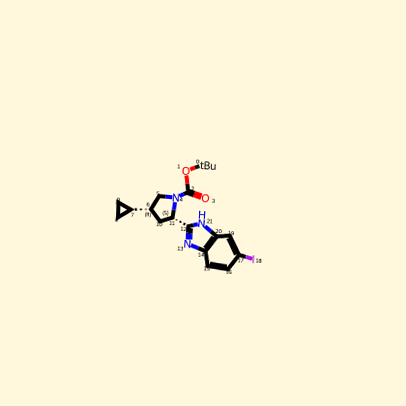 CC(C)(C)OC(=O)N1C[C@@H](C2CC2)C[C@H]1c1nc2ccc(I)cc2[nH]1